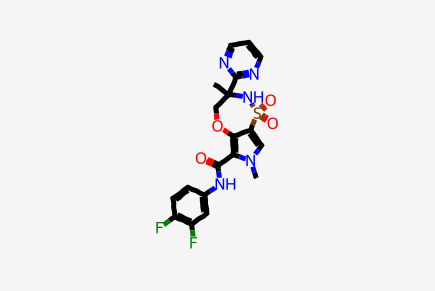 Cn1cc2c(c1C(=O)Nc1ccc(F)c(F)c1)OCC(C)(c1ncccn1)NS2(=O)=O